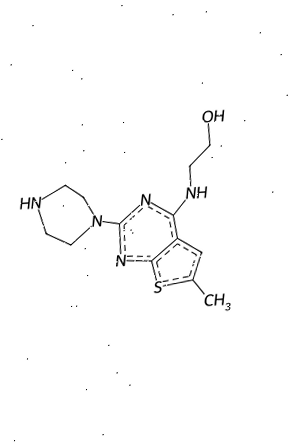 Cc1cc2c(NCCO)nc(N3CCNCC3)nc2s1